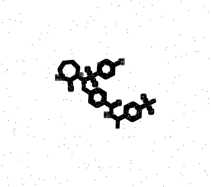 CC(NC(=O)c1ccc(CN([C@@H]2CCCCNC2=O)S(=O)(=O)c2ccc(Cl)cc2)cc1)c1ccc(S(C)(=O)=O)cc1